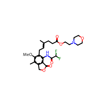 COc1c(C)c2c(c(NC(=O)C(F)F)c1C/C=C(\C)CCC(=O)OCCN1CCOCC1)C(=O)OC2